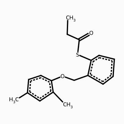 CCC(=O)Sc1ccccc1COc1ccc(C)cc1C